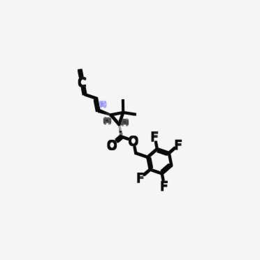 C=C=C/C=C/[C@@H]1[C@@H](C(=O)OCc2c(F)c(F)cc(F)c2F)C1(C)C